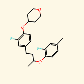 Cc1ccc(OC(C)CCc2ccc(OC3CCOCC3)c(F)c2)c(F)c1